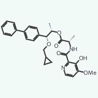 COc1ccnc(C(=O)N[C@@H](C)C(=O)O[C@@H](C)[C@H](OCC2CC2)c2ccc(-c3ccccc3)cc2)c1O